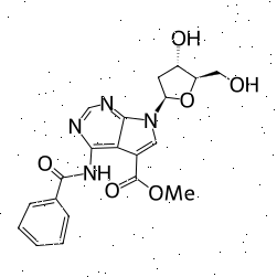 COC(=O)c1cn([C@H]2C[C@H](O)[C@@H](CO)O2)c2ncnc(NC(=O)c3ccccc3)c12